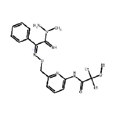 CCOC(CC)(CC)C(=O)Nc1cccc(CO/N=C(\C(=N)N(C)N)c2ccccc2)n1